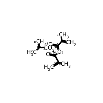 C=C(C)C(=O)O.C=C(C)C(=O)OC(=O)C(=C)C